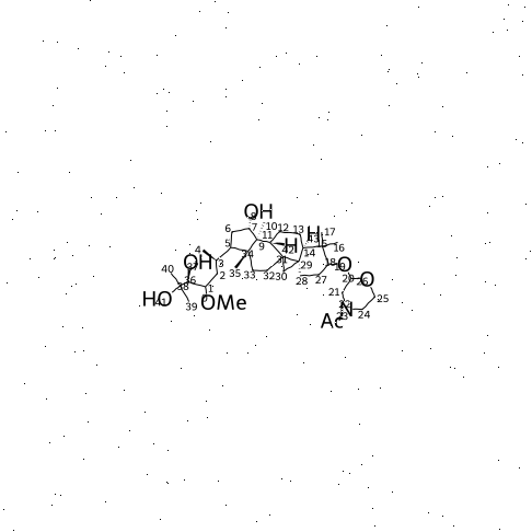 COC(C[C@@H](C)C1C[C@H](O)[C@@]2(C)[C@@H]3CC[C@H]4C(C)(C)C(OC5CN(C(C)=O)CCO5)CC[C@@]45CC35CC[C@]12C)[C@H](O)C(C)(C)O